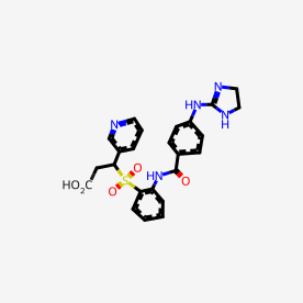 O=C(O)CC(c1cccnc1)S(=O)(=O)c1ccccc1NC(=O)c1ccc(NC2=NCCN2)cc1